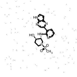 CS(=O)(=O)N1CC[C@@H](O)[C@H](Nc2ncccc2-c2cnc3[nH]ccc3n2)C1